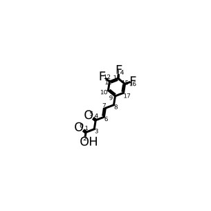 O=C(O)CC(=O)C=CCc1cc(F)c(F)c(F)c1